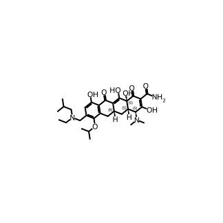 CCN(Cc1cc(O)c2c(c1OC(C)C)C[C@H]1C[C@H]3[C@H](N(C)C)C(O)=C(C(N)=O)C(=O)[C@@]3(O)C(O)=C1C2=O)CC(C)C